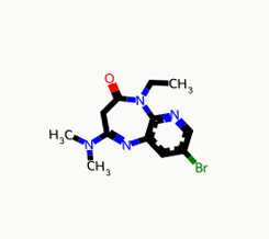 CCN1C(=O)CC(N(C)C)=Nc2cc(Br)cnc21